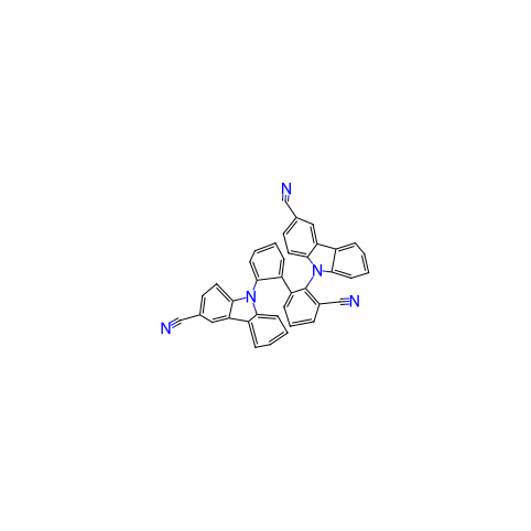 N#Cc1ccc2c(c1)c1ccccc1n2-c1ccccc1-c1cccc(C#N)c1-n1c2ccccc2c2cc(C#N)ccc21